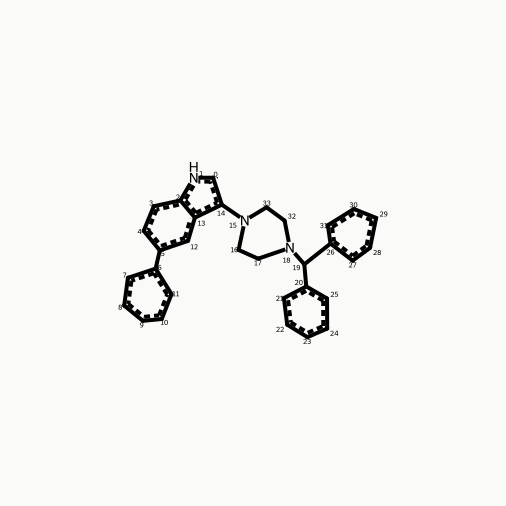 [c]1[nH]c2ccc(-c3ccccc3)cc2c1N1CCN(C(c2ccccc2)c2ccccc2)CC1